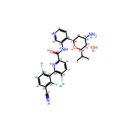 CC(C)[C@H]1O[C@@H](c2ccncc2NC(=O)c2ccc(F)c(-c3c(F)ccc(C#N)c3F)n2)C[C@@H](N)[C@@H]1O